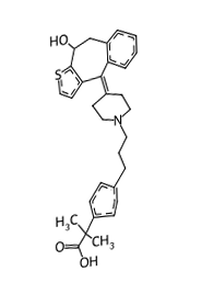 CC(C)(C(=O)O)c1ccc(CCCN2CCC(=C3c4ccccc4CC(O)c4sccc43)CC2)cc1